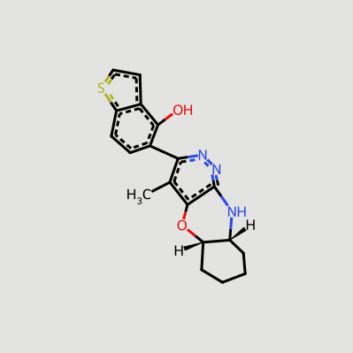 Cc1c(-c2ccc3sccc3c2O)nnc2c1O[C@H]1CCCC[C@H]1N2